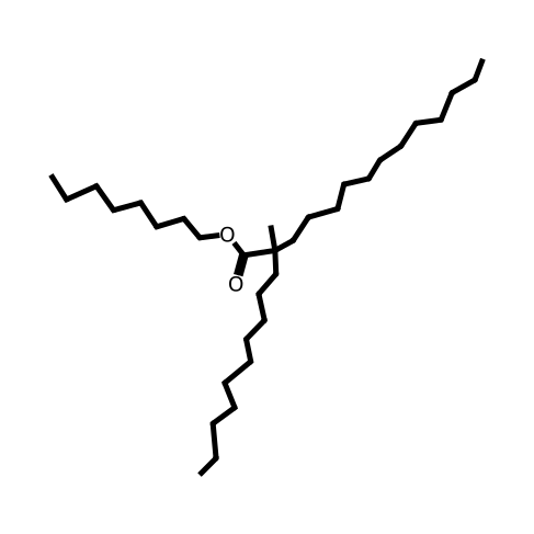 CCCCCCCCCCCCC(C)(CCCCCCCCCC)C(=O)OCCCCCCCC